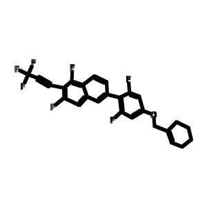 Fc1cc2cc(-c3c(F)cc(OCC4=CCCCC4)cc3F)ccc2c(F)c1C#CC(F)(F)F